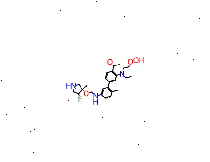 CCN(CCOO)c1cc(-c2cc(NCO[C@@]3(C)CNCC3F)ccc2C)ccc1C(C)=O